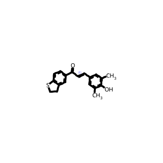 Cc1cc(/C=C/C(=O)c2ccc3c(c2)CCS3)cc(C)c1O